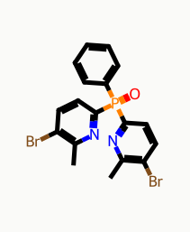 Cc1nc(P(=O)(c2ccccc2)c2ccc(Br)c(C)n2)ccc1Br